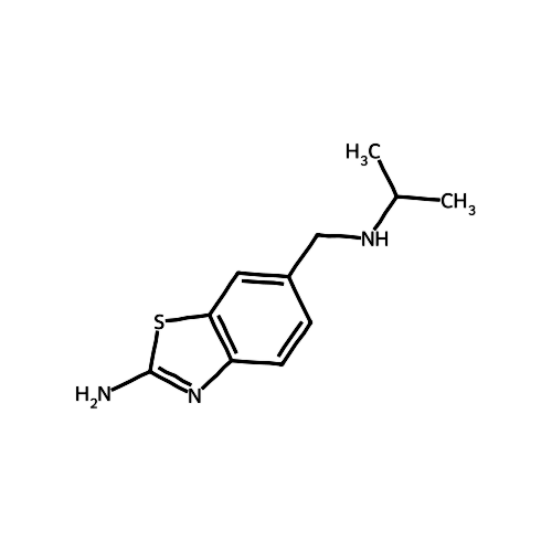 CC(C)NCc1ccc2nc(N)sc2c1